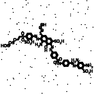 Nc1cc(N)c(S(=O)(=O)O)cc1/N=N/c1ccc(NS(=O)(=O)c2ccc(/N=N/c3c(S(=O)(=O)O)cc4cc(SOOO)c(/N=N/c5ccc(S(=O)(=O)CCOSOOO)cc5S(=O)(=O)O)c(N)c4c3O)cc2)cc1